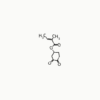 CC=C(C)C(=O)OC1CCC(=O)C(=O)C1